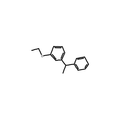 CCOc1cccc(C(C)c2ccccc2)c1